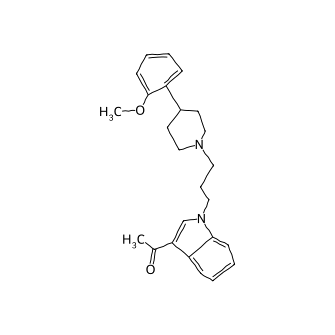 COc1ccccc1C1CCN(CCCn2cc(C(C)=O)c3ccccc32)CC1